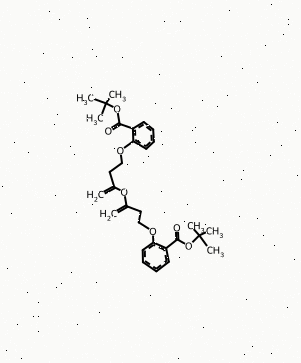 C=C(CCOc1ccccc1C(=O)OC(C)(C)C)OC(=C)CCOc1ccccc1C(=O)OC(C)(C)C